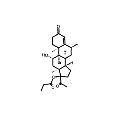 CCC(=O)O[C@]1(C(C)=O)[C@@H](C)C[C@H]2[C@@H]3C[C@H](C)C4=CC(=O)CC[C@]4(C)[C@@]3(Br)[C@@H](O)C[C@@]21C